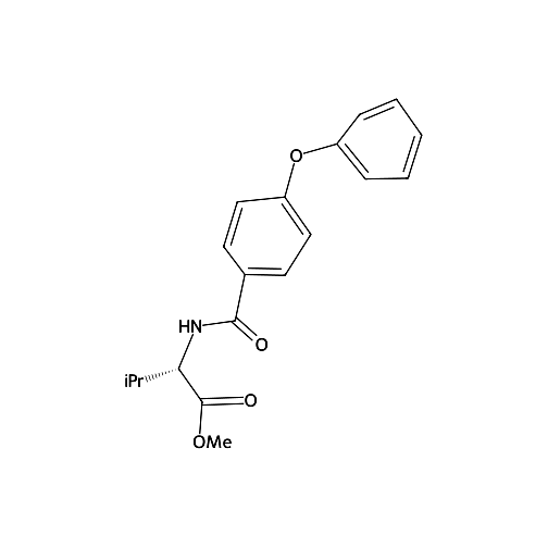 COC(=O)[C@@H](NC(=O)c1ccc(Oc2ccccc2)cc1)C(C)C